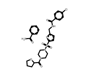 NC(=O)c1ccccc1.O=C(NCc1ccc(S(=O)(=O)N2CCN(C(=O)C3CCCO3)CC2)s1)c1ccc(Cl)cc1